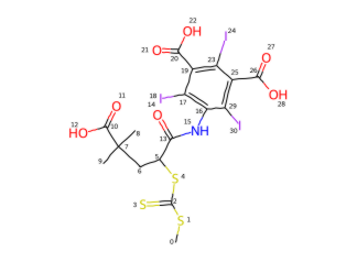 CSC(=S)SC(CC(C)(C)C(=O)O)C(=O)Nc1c(I)c(C(=O)O)c(I)c(C(=O)O)c1I